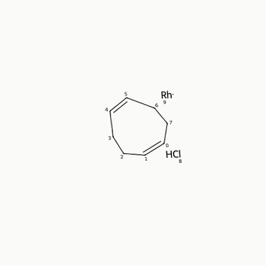 C1=CCCC=CCC1.Cl.[Rh]